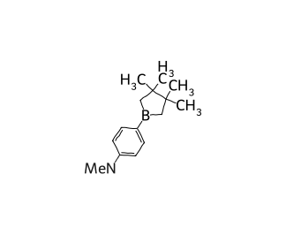 CNc1ccc(B2CC(C)(C)C(C)(C)C2)cc1